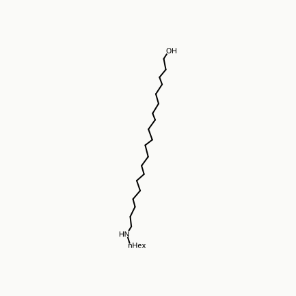 CCCCCCNCCCCCCCCCCCCCCCCCCCCO